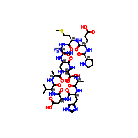 CSCC[C@H](NC(=O)[C@H](CCC(=O)O)NC(=O)[C@@H]1CCCN1)C(=O)N[C@@H](C)C(=O)N[C@@H](C)C(=O)N[C@@H](CCCNC(=N)N)C(=O)N[C@@H](C)C(=O)N[C@@H](Cc1c[nH]cn1)C(=O)N[C@@H](CC(=O)O)C(=O)N[C@H](C(=O)N[C@@H](C)C(=O)N[C@@H](C)C(=O)O)C(C)C